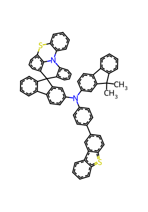 CC1(C)c2ccccc2-c2ccc(N(c3ccc(-c4ccc5sc6ccccc6c5c4)cc3)c3ccc4c(c3)C3(c5ccccc5-4)c4ccccc4N4c5ccccc5Sc5cccc3c54)cc21